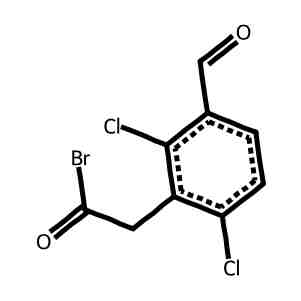 O=Cc1ccc(Cl)c(CC(=O)Br)c1Cl